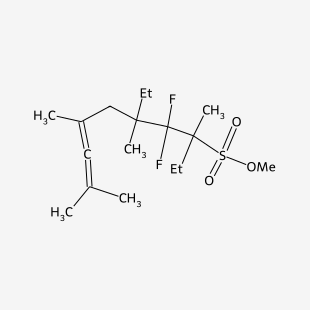 CCC(C)(CC(C)=C=C(C)C)C(F)(F)C(C)(CC)S(=O)(=O)OC